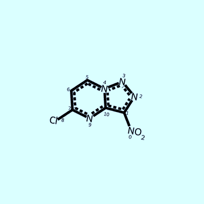 O=[N+]([O-])c1nnn2ccc(Cl)nc12